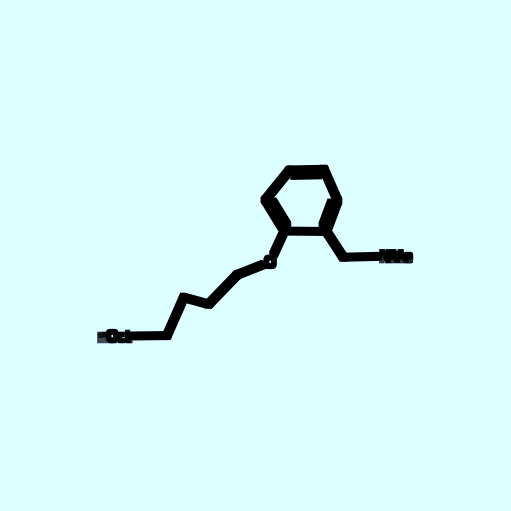 CCCCCCCCCCCCOc1ccccc1CNC